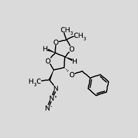 CC(N=[N+]=[N-])[C@H]1O[C@@H]2OC(C)(C)O[C@@H]2[C@@H]1OCc1ccccc1